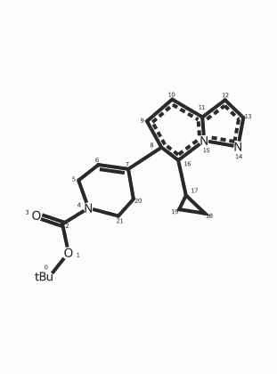 CC(C)(C)OC(=O)N1CC=C(c2ccc3ccnn3c2C2CC2)CC1